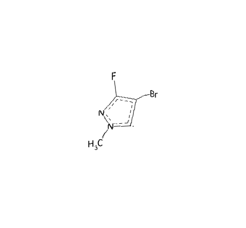 Cn1[c]c(Br)c(F)n1